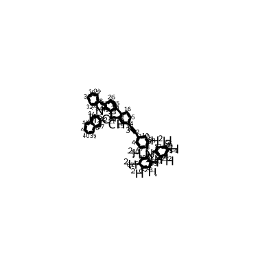 [2H]c1c([2H])c([2H])c(N(c2ccc(C#Cc3ccc4c(c3)C(C)(C)c3c-4ccc4c5ccccc5n(-c5ccc6ccccc6c5)c34)cc2)c2c([2H])c([2H])c([2H])c([2H])c2[2H])c([2H])c1[2H]